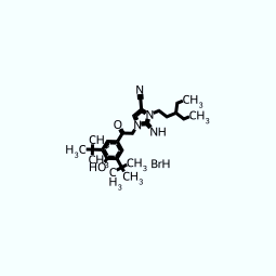 Br.CCC(CC)CCn1c(C#N)cn(CC(=O)c2cc(C(C)(C)C)c(O)c(C(C)(C)C)c2)c1=N